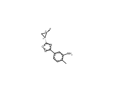 Cc1ccc(-c2noc([C@@H]3C[C@H]3F)n2)cc1N